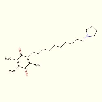 COC1=C(OC)C(=O)C(CCCCCCCCCCN2CCCC2)=C(C)C1=O